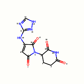 O=C1CCC(N2C(=O)C=C(Nc3nc[nH]n3)C2=O)C(=O)N1